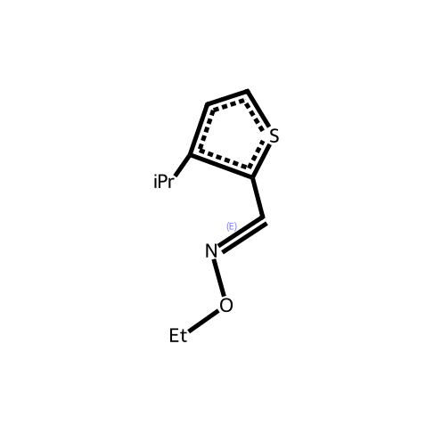 CCO/N=C/c1sccc1C(C)C